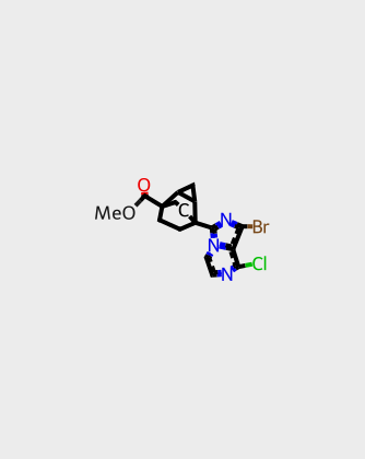 COC(=O)C12CCC(c3nc(Br)c4c(Cl)nccn34)(CC1)C1CC12